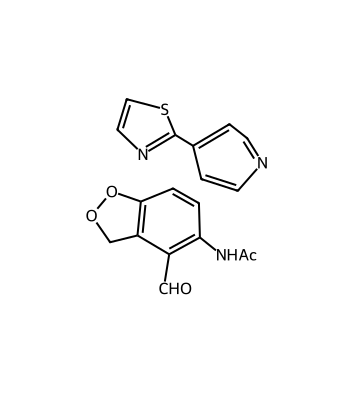 CC(=O)Nc1ccc2c(c1C=O)COO2.c1cc(-c2nccs2)ccn1